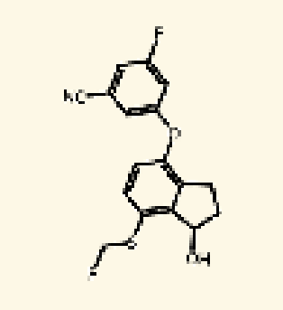 N#Cc1cc(F)cc(Oc2ccc(SCF)c3c2CCC3O)c1